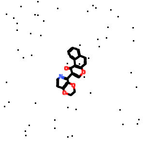 O=c1c(-c2nccc3c2OCCO3)coc2ccc3ccccc3c12